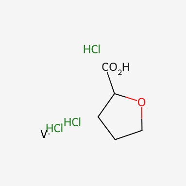 Cl.Cl.Cl.O=C(O)C1CCCO1.[V]